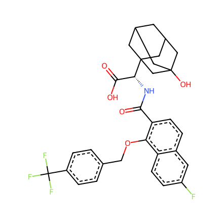 O=C(N[C@H](C(=O)O)C12CC3CC(CC(O)(C3)C1)C2)c1ccc2cc(F)ccc2c1OCc1ccc(C(F)(F)F)cc1